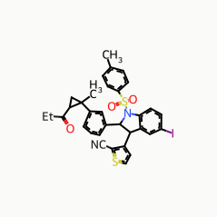 CCC(=O)C1CC1(C)c1cccc(C2C(c3ccsc3C#N)c3cc(I)ccc3N2S(=O)(=O)c2ccc(C)cc2)c1